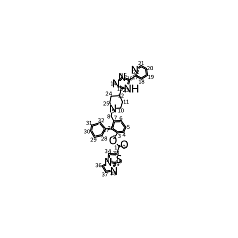 O=C(Oc1cccc(CN2CCC(c3nnc(-c4ccccn4)[nH]3)CC2)c1-c1ccccc1)c1cn2ccnc2s1